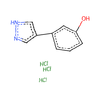 Cl.Cl.Cl.Oc1cccc(-c2cn[nH]c2)c1